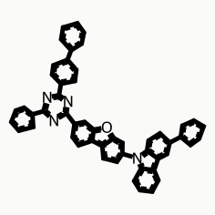 c1ccc(-c2ccc(-c3nc(-c4ccccc4)nc(-c4ccc5c(c4)oc4cc(-n6c7ccccc7c7cc(-c8ccccc8)ccc76)ccc45)n3)cc2)cc1